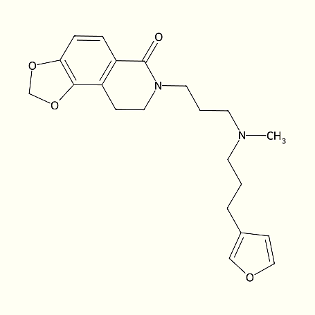 CN(CCCc1ccoc1)CCCN1CCc2c(ccc3c2OCO3)C1=O